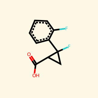 O=C(O)C1CC1(F)c1ccccc1F